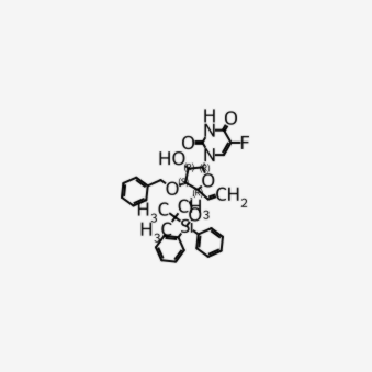 C=C[C@]1(CO[Si](c2ccccc2)(c2ccccc2)C(C)(C)C)O[C@@H](n2cc(F)c(=O)[nH]c2=O)[C@H](O)[C@@H]1OCc1ccccc1